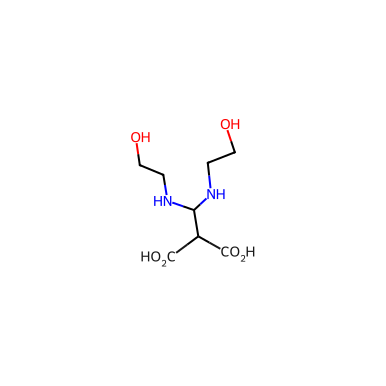 O=C(O)C(C(=O)O)C(NCCO)NCCO